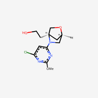 COc1nc(Cl)cc(N2C[C@H]3C[C@]2(CCO)CO3)n1